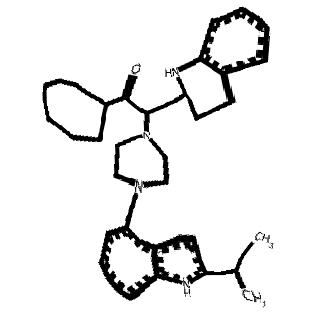 CC(C)c1cc2c(N3CCN(C(C(=O)C4CCCCC4)C4CCc5ccccc5N4)CC3)cccc2[nH]1